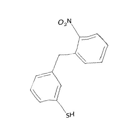 O=[N+]([O-])c1ccccc1Cc1cccc(S)c1